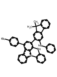 CC(C)(C)c1ccc(-c2cc(-c3cc4c(cc3Nc3ccccc3)-c3ccccc3C4(C)C)c3c4c2c2ccccc2n4-c2ccccc2B3)cc1